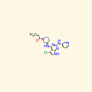 C=CC(=O)N1CCC[C@@H](Nc2nc(Nc3cccnc3)nc3[nH]cc(Cl)c23)C1